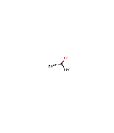 CCCC([O-])CCC.[Na+]